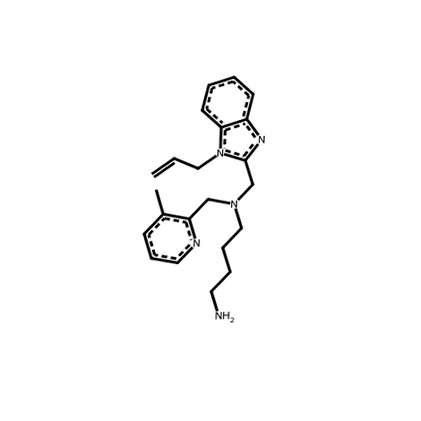 C=CCn1c(CN(CCCCN)Cc2ncccc2C)nc2ccccc21